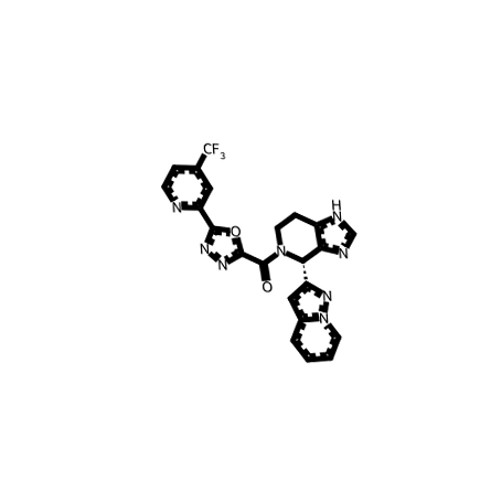 O=C(c1nnc(-c2cc(C(F)(F)F)ccn2)o1)N1CCc2[nH]cnc2[C@@H]1c1cc2ccccn2n1